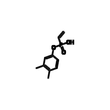 C=CP(=O)(O)Oc1ccc(C)c(C)c1